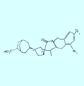 CC1C2Cc3c(N)cc(C(F)(F)F)cc3CN2C(=O)[C@]12CC[C@@H](N1CC3CC(C1)C(C(=O)O)C3)C2